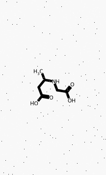 CC(CC(=O)O)NCC(=O)O